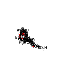 CC[C@H](CC[C@@]1(C)[C@H](C)CC[C@]2(C)[C@@H]1CC[C@@H]1C3=C(C(C)C)C(=O)C[C@]3(C(O)c3nnc(-c4ncc(C#N)cn4)n3CCN)CC[C@]12C)OC(=O)CC(C)(Cc1nc(-c2nnc([C@H](O)[C@@]34CC[C@]5(C)[C@H](CCC6[C@@]7(C)CC[C@H](OC(=O)CC(C)(C)C(=O)O)C(C)(C)[C@@H]7CC[C@]65C)C3=C(C(C)C)C(=O)C4)n2CCN)ncc1C#N)C(=O)O